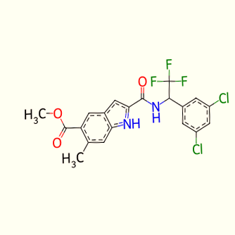 COC(=O)c1cc2cc(C(=O)NC(c3cc(Cl)cc(Cl)c3)C(F)(F)F)[nH]c2cc1C